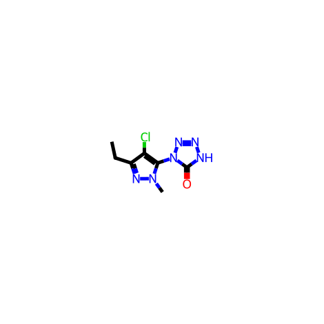 CCc1nn(C)c(-n2nn[nH]c2=O)c1Cl